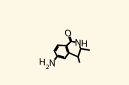 CC1NC(=O)c2ccc(N)cc2C1C